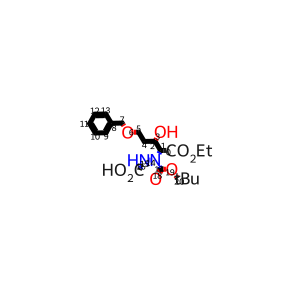 CCOC(=O)C(C(O)CCOCc1ccccc1)N(NC(=O)O)C(=O)OC(C)(C)C